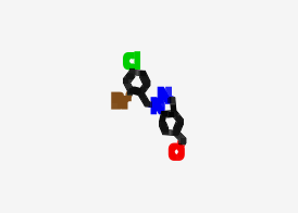 O=Cc1ccc2c(cnn2Cc2ccc(Cl)cc2Br)c1